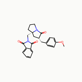 COc1ccc(C[C@@H]2C[C@@]3(CN4C(=O)c5ccccc5C4=O)CCCN3C2=O)cc1